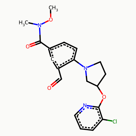 CON(C)C(=O)c1ccc(N2CCC(Oc3ncccc3Cl)C2)c(C=O)c1